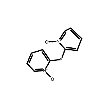 [O-][n+]1ccccc1Sc1cccc[n+]1[O-]